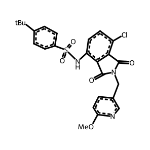 COc1ccc(CN2C(=O)c3c(Cl)ccc(NS(=O)(=O)c4ccc(C(C)(C)C)cc4)c3C2=O)cn1